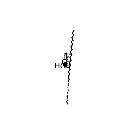 CCCCCCCCCCCCCCCC(CCCCCCCCCCCCCCC)CP(=O)(O)OCC[N+](C)(C)C